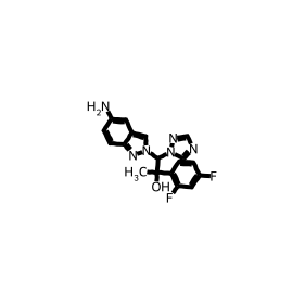 CC(O)(c1ccc(F)cc1F)C(n1cncn1)n1cc2cc(N)ccc2n1